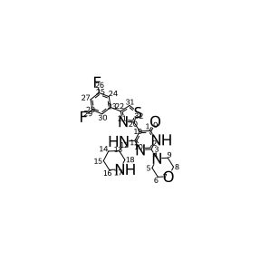 O=c1[nH]c(N2CCOCC2)nc(NC2CCCNC2)c1-c1nc(-c2cc(F)cc(F)c2)cs1